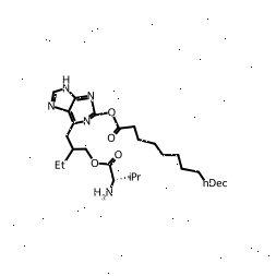 CCCCCCCCCCCCCCCCCC(=O)Oc1nc(CC(CC)COC(=O)[C@@H](N)C(C)C)c2nc[nH]c2n1